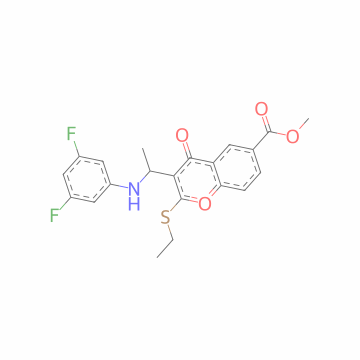 CCSc1oc2ccc(C(=O)OC)cc2c(=O)c1C(C)Nc1cc(F)cc(F)c1